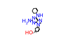 Nc1nc(NC2C=CCCC2)c2ncn([C@@H]3C=C[C@H](CO)C3)c2n1